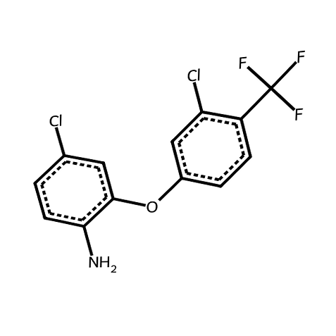 Nc1ccc(Cl)cc1Oc1ccc(C(F)(F)F)c(Cl)c1